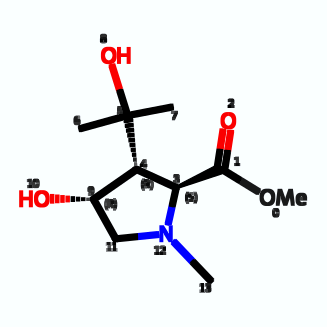 COC(=O)[C@@H]1[C@@H](C(C)(C)O)[C@@H](O)CN1C